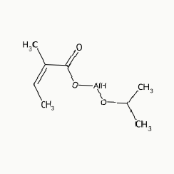 CC=C(C)C(=O)[O][AlH][O]C(C)C